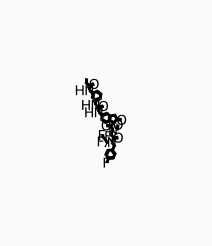 CCC(=O)Nc1cccc(NC(=O)Nc2ccc3c(c2)CC(=O)[C@]32OCN(CC(=O)N(Cc3ccc(F)cc3)[C@@H](C)C(F)(F)F)C2=O)c1